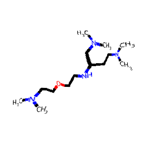 CN(C)CCOCCNC(CCN(C)C)CN(C)C